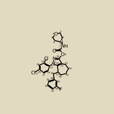 O=C(NN1CCOCC1)Oc1nn(-c2ccc(Cl)cc2Cl)c2c1CCCCC2Cc1cccc(F)c1